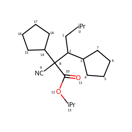 CC(C)CC(C1CCCC1)C(C#N)(C(=O)OC(C)C)C1CCCC1